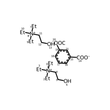 CC[N+](CC)(CC)CCO.CC[N+](CC)(CC)CCO.O=C([O-])c1cccc(C(=O)[O-])c1